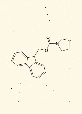 O=C(OCC1c2ccccc2-c2ccccc21)N1C[CH]CC1